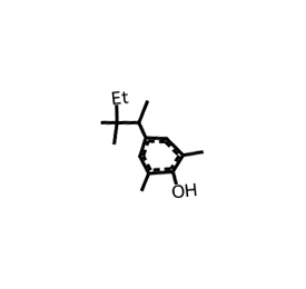 CCC(C)(C)C(C)c1cc(C)c(O)c(C)c1